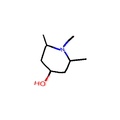 CC1CC(O)CC(C)N1C